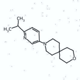 CC(C)c1ccc(N2CCC3(CCOCC3)CC2)cn1